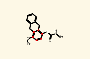 CC(C)NC(=O)Oc1ccc(OC(C)C)c2c1C1c3ccccc3C2c2ccccc21